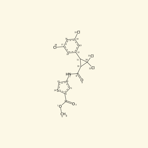 COC(=O)c1cc(NC(=O)C2C(c3cc(Cl)cc(Cl)c3)C2(Cl)Cl)cs1